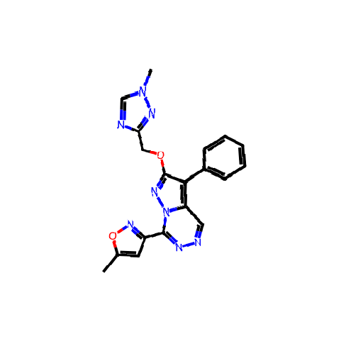 Cc1cc(-c2nncc3c(-c4ccccc4)c(OCc4ncn(C)n4)nn23)no1